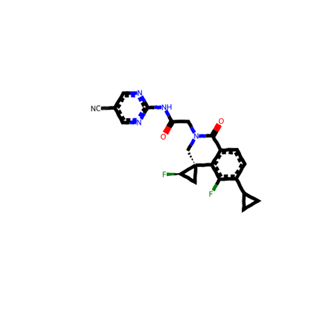 N#Cc1cnc(NC(=O)CN2C[C@@]3(C[C@H]3F)c3c(ccc(C4CC4)c3F)C2=O)nc1